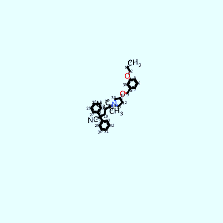 C=CCOc1cccc(CO[C@@H]2CCN(C(C)(C)CCC(C#N)(c3ccccc3)c3ccccc3)C2)c1